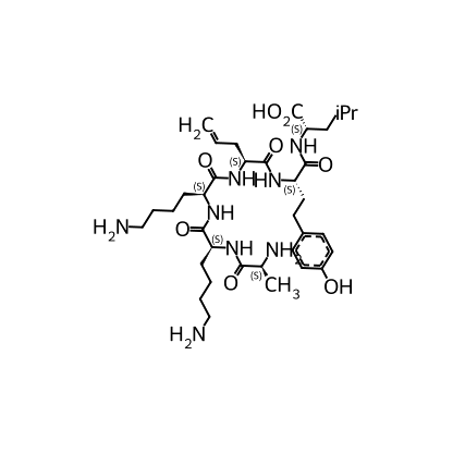 C=CC[C@H](NC(=O)[C@H](CCCCN)NC(=O)[C@H](CCCCN)NC(=O)[C@H](C)N)C(=O)N[C@@H](CCc1ccc(O)cc1)C(=O)N[C@@H](CC(C)C)C(=O)O